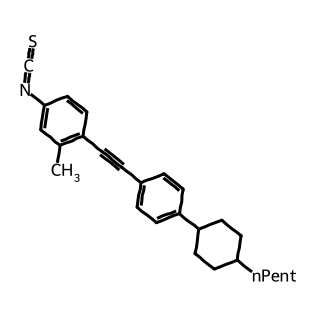 CCCCCC1CCC(c2ccc(C#Cc3ccc(N=C=S)cc3C)cc2)CC1